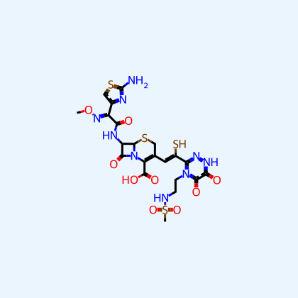 CON=C(C(=O)NC1C(=O)N2C(C(=O)O)=C(C=C(S)c3n[nH]c(=O)c(=O)n3CCNS(C)(=O)=O)CSC12)c1csc(N)n1